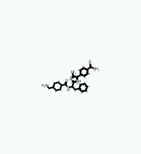 NCC1CCC(C(=O)NC(Cc2ccccc2)c2nc(C(F)(F)F)c(-c3ccc(C(N)=O)cc3)[nH]2)CC1